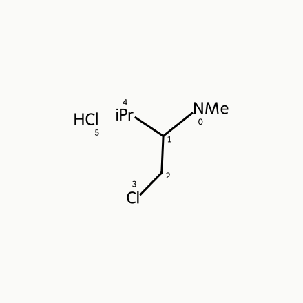 CNC(CCl)C(C)C.Cl